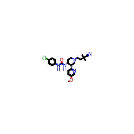 COc1ccc([C@@H]2CN(CCC(C)(C)C#N)CC[C@H]2NC(=O)Nc2ccc(Cl)cc2)nc1